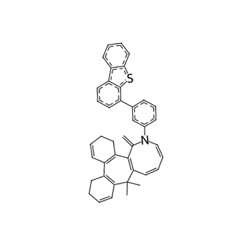 C=C1C2=C(/C=C\C=C/N1c1cccc(-c3cccc4c3sc3ccccc34)c1)C(C)(C)C1=C(CCC=C1)C1=C2CCC=C1